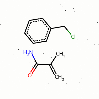 C=C(C)C(N)=O.ClCc1ccccc1